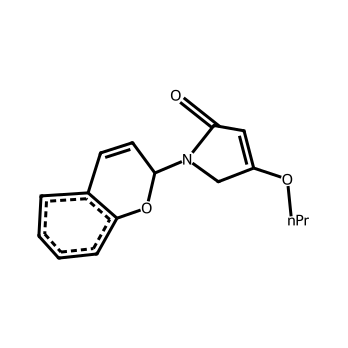 CCCOC1=CC(=O)N(C2C=Cc3ccccc3O2)C1